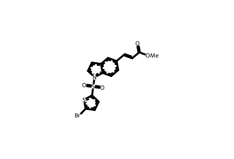 COC(=O)/C=C/c1ccc2c(ccn2S(=O)(=O)c2ccc(Br)s2)c1